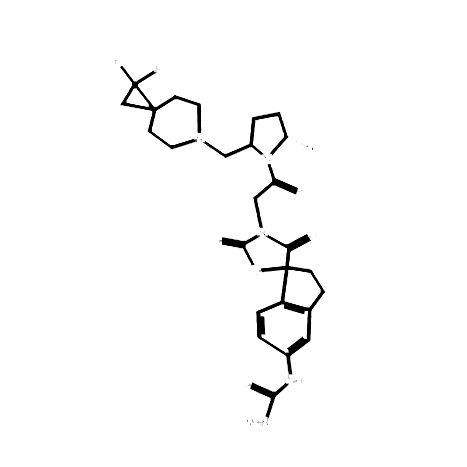 CNC(=O)Nc1ccc2c(c1)CCC21OC(=O)N(CC(=O)N2C(CN3CCC4(CC3)CC4(F)F)CC[C@@H]2C)C1=O